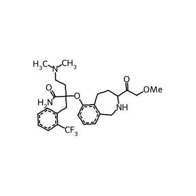 COCC(=O)C1CCc2c(cccc2OC(CCN(C)C)(Cc2ccccc2C(F)(F)F)C(N)=O)CN1